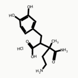 CC(CCN)(C(N)=O)C(Cc1ccc(O)c(O)c1)C(=O)O.Cl